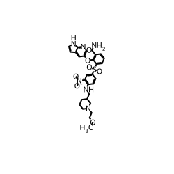 COCCN1CCCC(CNc2ccc(S(=O)(=O)c3cccc(C(N)=O)c3Oc3cnc4[nH]ccc4c3)cc2[N+](=O)[O-])C1